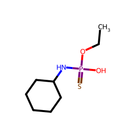 CCOP(O)(=S)NC1CCCCC1